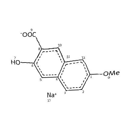 COc1ccc2cc(O)c(C(=O)[O-])cc2c1.[Na+]